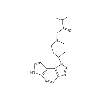 CN(C)C(=O)CN1CCC(n2cnc3cnc4[nH]ccc4c32)CC1